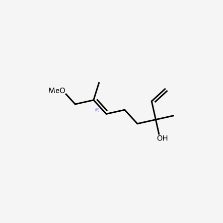 C=CC(C)(O)CC/C=C(\C)COC